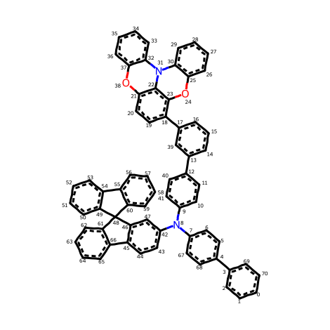 c1ccc(-c2ccc(N(c3ccc(-c4cccc(-c5ccc6c7c5Oc5ccccc5N7c5ccccc5O6)c4)cc3)c3ccc4c(c3)C3(c5ccccc5-c5ccccc53)c3ccccc3-4)cc2)cc1